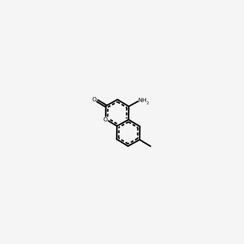 Cc1ccc2oc(=O)cc(N)c2c1